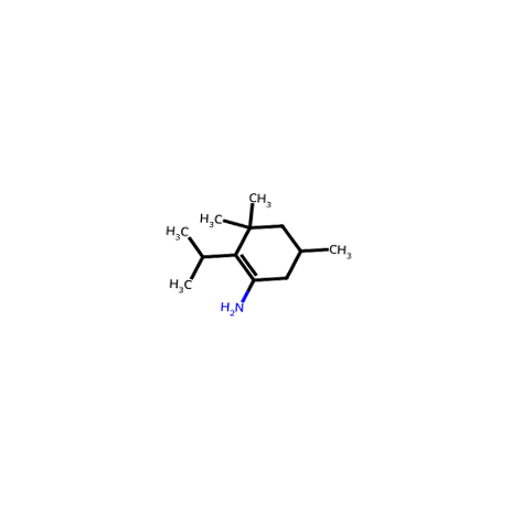 CC1CC(N)=C(C(C)C)C(C)(C)C1